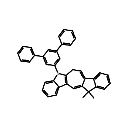 CC1(C)C2=Cc3c(n(-c4cc(-c5ccccc5)cc(-c5ccccc5)c4)c4ccccc34)CC=C2c2ccccc21